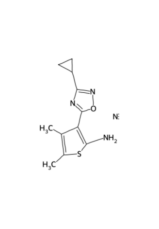 Cc1sc(N)c(-c2nc(C3CC3)no2)c1C.[N]